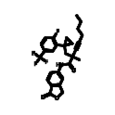 CCCCC#CC(C)(CC1(c2cc(C(F)(F)F)ccc2F)CC1)C(=O)Nc1ccc2c(c1)COC2=O